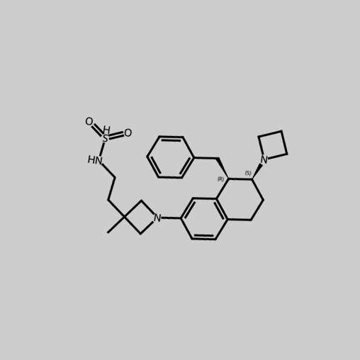 CC1(CCN[SH](=O)=O)CN(c2ccc3c(c2)[C@@H](Cc2ccccc2)[C@@H](N2CCC2)CC3)C1